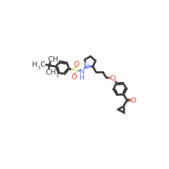 CC(C)(C)c1ccc(S(=O)(=O)NN2CCCC2CCCOc2ccc(C(=O)C3CC3)cc2)cc1